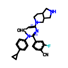 CN(/C(=N\C(=C/C=O)N1CCC2CNCC2C1)c1ccc(C#N)c(F)c1)c1ccc(C2CC2)cc1